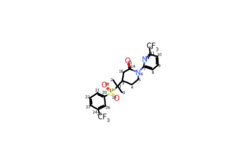 CC(C)(C1CCN(c2cccc(C(F)(F)F)n2)C(=O)C1)S(=O)(=O)c1cccc(C(F)(F)F)c1